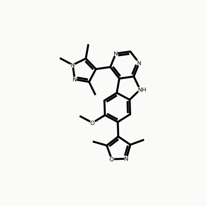 COc1cc2c(cc1-c1c(C)noc1C)[nH]c1ncnc(-c3c(C)nn(C)c3C)c12